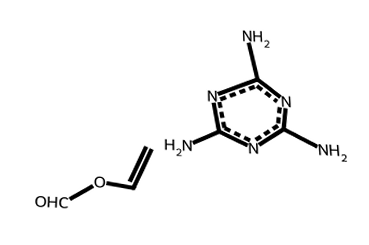 C=COC=O.Nc1nc(N)nc(N)n1